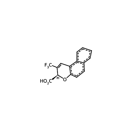 O=C(O)[C@@H]1Oc2ccc3ccccc3c2C=C1C(F)(F)F